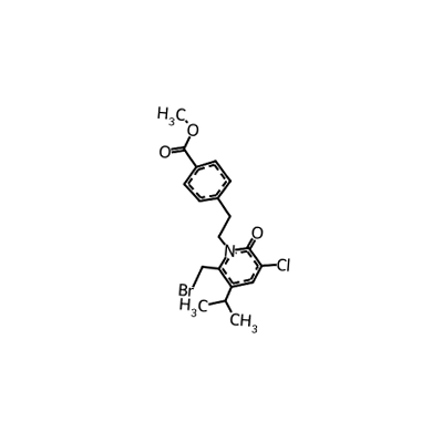 COC(=O)c1ccc(CCn2c(CBr)c(C(C)C)cc(Cl)c2=O)cc1